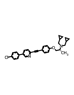 C[C@H](COc1ccc(C#Cc2ccc(-c3ccc(Cl)cc3)cn2)cc1)N(CC1CC1)CC1CC1